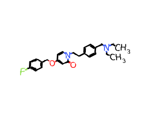 CCN(CC)Cc1ccc(CCn2ccc(OCc3ccc(F)cc3)cc2=O)cc1